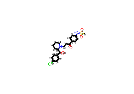 CS(=O)(=O)Nc1ccc(C(=O)CCN2CCCCC2C(=O)c2ccc(Cl)cc2)cc1